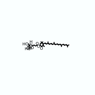 CC(C)=C/C=C/C(C)=C/C=C/C=C(C)/C=C/C=C(C)/C=C/C1=C(C)C(=O)C(OC(=O)CCC(=O)NC(CO)(CO)CO)CC1(C)C